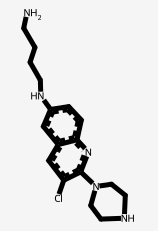 NCCCCNc1ccc2nc(N3CCNCC3)c(Cl)cc2c1